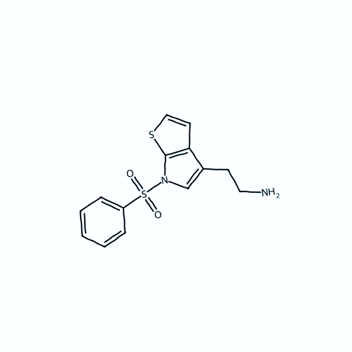 NCCc1cn(S(=O)(=O)c2ccccc2)c2sccc12